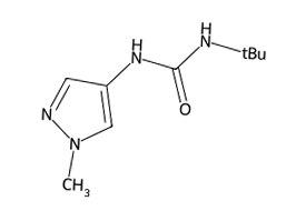 Cn1cc(NC(=O)NC(C)(C)C)cn1